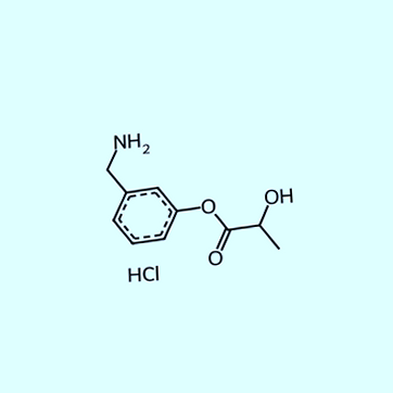 CC(O)C(=O)Oc1cccc(CN)c1.Cl